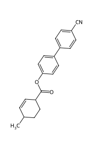 CC1C=CC(C(=O)Oc2ccc(-c3ccc(C#N)cc3)cc2)CC1